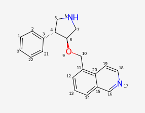 c1ccc([C@@H]2CNC[C@H]2OCc2cccc3cnccc23)cc1